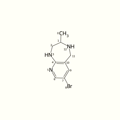 CC1CNc2ncc(Br)cc2CN1